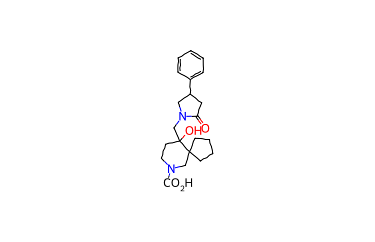 O=C(O)N1CCC(O)(CN2CC(c3ccccc3)CC2=O)C2(CCCC2)C1